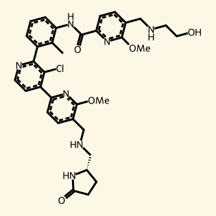 COc1nc(C(=O)Nc2cccc(-c3nccc(-c4ccc(CNC[C@@H]5CCC(=O)N5)c(OC)n4)c3Cl)c2C)ccc1CNCCO